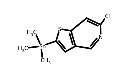 [CH3][Sn]([CH3])([CH3])[c]1cc2cnc(Cl)cc2s1